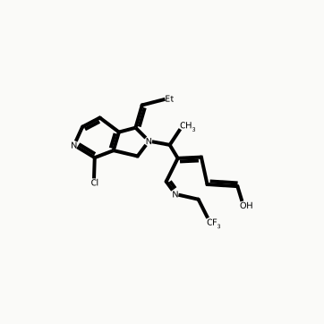 CC/C=C1/c2ccnc(Cl)c2CN1C(C)C(/C=N\CC(F)(F)F)=C/C=C/O